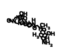 CC(CCC(=O)Nc1ccc(CC(CN2CCN(CC=O)CCN(CC(=O)O)CC2)NCC=O)cc1)[C@H]1CCC2C3C(CC[C@@H]21)[C@@]1(C)CCC(N)C[C@H]1C[C@H]3O